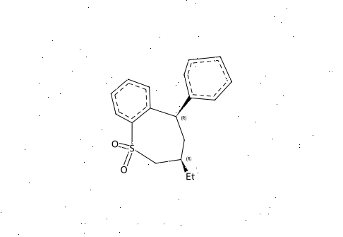 CC[C@@H]1C[C@H](c2ccccc2)c2ccccc2S(=O)(=O)C1